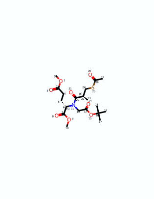 COC(=O)CC[C@@H](C(=O)OC)N(CC(=O)OC(C)(C)C)C(=O)[C@H](C)CSC(C)=O